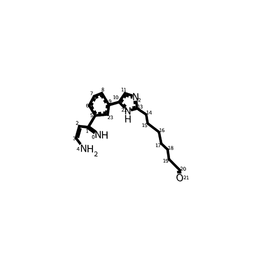 N=C(/C=C\N)c1cccc(-c2cnc(CCCCCCC=O)[nH]2)c1